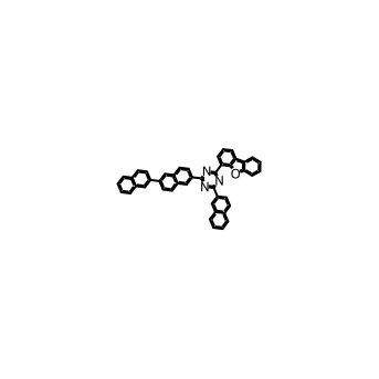 c1ccc2cc(-c3ccc4cc(-c5nc(-c6ccc7ccccc7c6)nc(-c6cccc7c6oc6ccccc67)n5)ccc4c3)ccc2c1